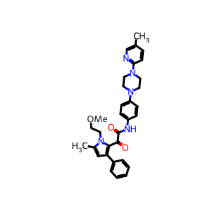 COCCn1c(C)cc(-c2ccccc2)c1C(=O)C(=O)Nc1ccc(N2CCN(c3ccc(C)cn3)CC2)cc1